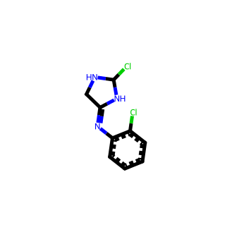 Clc1ccccc1N=C1CNC(Cl)N1